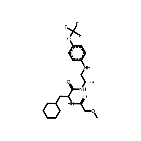 COCC(=O)NC(CC1CCCCC1)C(=O)N[C@@H](C)CNc1ccc(OC(F)(F)F)cc1